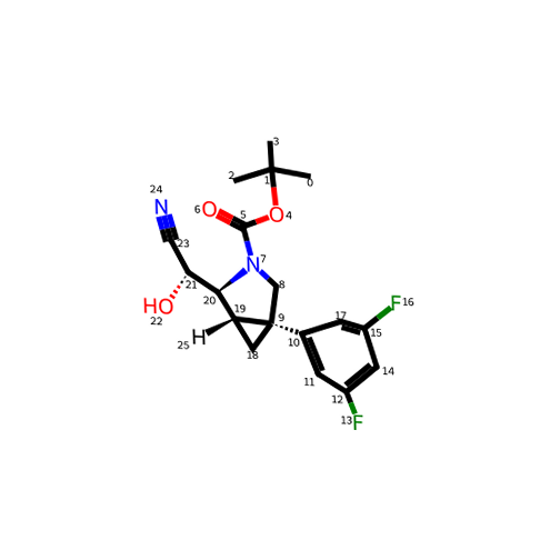 CC(C)(C)OC(=O)N1C[C@@]2(c3cc(F)cc(F)c3)C[C@@H]2[C@H]1[C@H](O)C#N